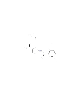 CCCCN1C(C(=O)NC)=CS/C1=C\C(=O)c1cc(Cl)ccc1OC